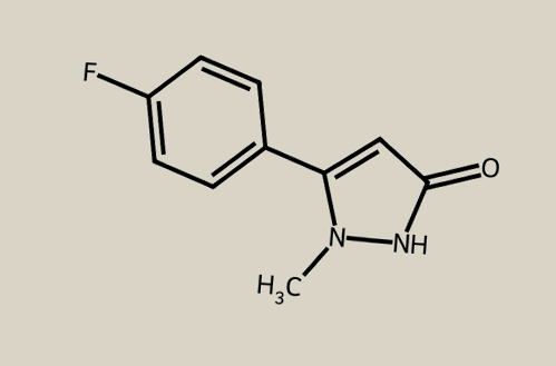 Cn1[nH]c(=O)cc1-c1ccc(F)cc1